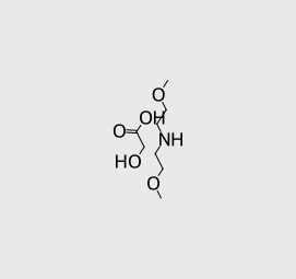 COCCNCCOC.O=C(O)CO